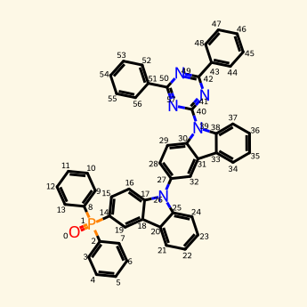 O=P(c1ccccc1)(c1ccccc1)c1ccc2c(c1)c1ccccc1n2-c1ccc2c(c1)c1ccccc1n2-c1nc(-c2ccccc2)nc(-c2ccccc2)n1